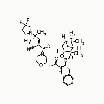 CC1(C)[C@@H]2C[C@H]3OB([C@H](Cc4ccccc4)NC(=O)C[C@H]4CN(C(=O)C(C#N)=CC(C)(C)N5CCC(F)(F)C5)CCO4)O[C@@]3(C)[C@H]1C2